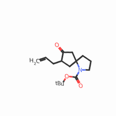 C=CCC1CC2(CCCN2C(=O)OC(C)(C)C)CC1=O